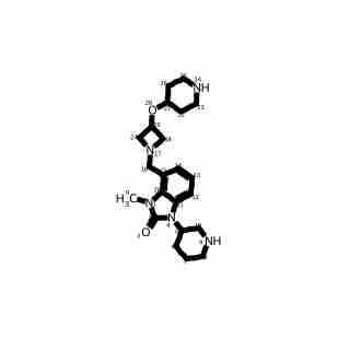 Cn1c(=O)n(C2CCCNC2)c2cccc(CN3CC(OC4CCNCC4)C3)c21